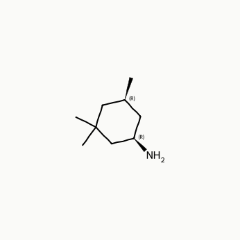 C[C@H]1C[C@@H](N)CC(C)(C)C1